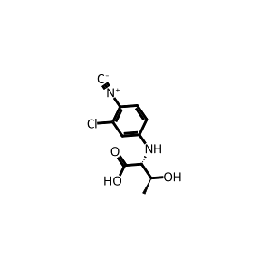 [C-]#[N+]c1ccc(N[C@@H](C(=O)O)[C@H](C)O)cc1Cl